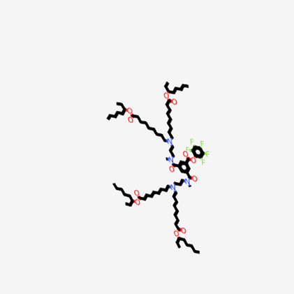 CCCCCC(CC)OC(=O)CCCCCCCCN(CCCCCCCCC(=O)OC(CC)CCCCC)CCCN(C)C(=O)c1cc(C(=O)Oc2c(F)c(F)c(F)c(F)c2F)cc(C(=O)N(C)CCCN(CCCCCCCCC(=O)OC(CC)CCCCC)CCCCCCCCC(=O)OC(CC)CCCCC)c1